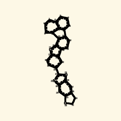 c1cc2c3c(cccc3c1)-c1c-2ccc2c1oc1ccc(-c3nc4cc5c(cc4o3)CCO5)cc12